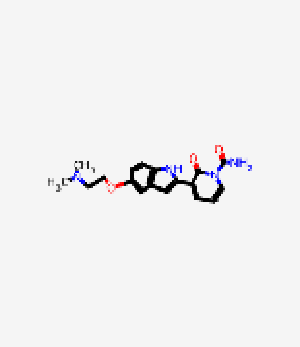 CN(C)CCOc1ccc2[nH]c(-c3c[c]cn(C(N)=O)c3=O)cc2c1